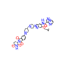 O=C1CCC(N2C(=O)c3ccc(N4CCC(CN5CCC(n6cc7cc(NC(=O)c8cnn9cccnc89)c(OCC8CC8)cc7n6)CC5)CC4)cc3C2=O)C(=O)N1